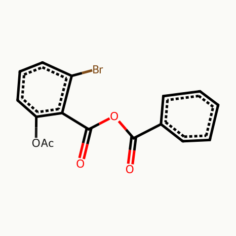 CC(=O)Oc1cccc(Br)c1C(=O)OC(=O)c1ccccc1